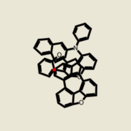 C1=C(c2cccc3oc4cccc(-c5cccc6c5oc5cccc(N(c7ccccc7)c7ccc8ccccc8c7)c56)c4c23)CCc2oc3ccccc3c21